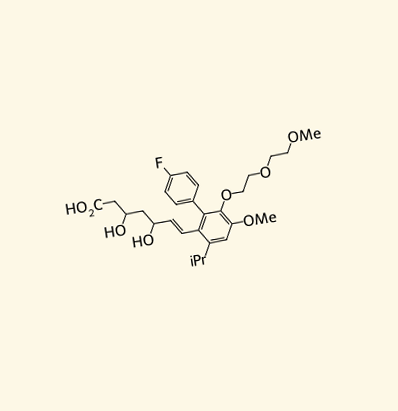 COCCOCCOc1c(OC)cc(C(C)C)c(C=CC(O)CC(O)CC(=O)O)c1-c1ccc(F)cc1